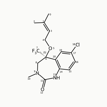 CC(C)=CCO[C@]1(C(F)(F)F)CN(C)C(=O)Nc2ccc(Cl)cc21